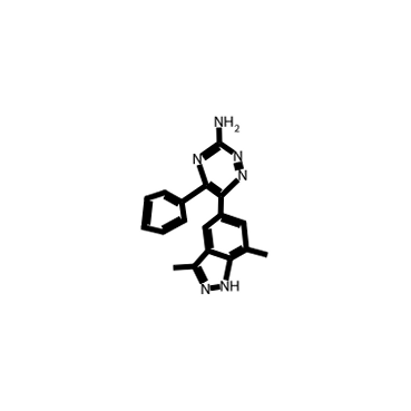 Cc1n[nH]c2c(C)cc(-c3nnc(N)nc3-c3ccccc3)cc12